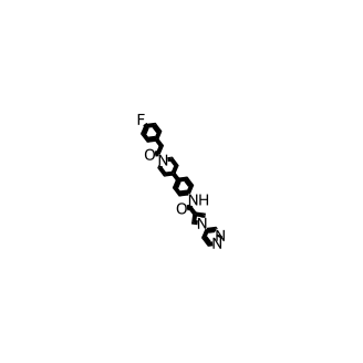 O=C(Nc1ccc(C2CCN(C(=O)Cc3ccc(F)cc3)CC2)cc1)C1CN(c2ccnnc2)C1